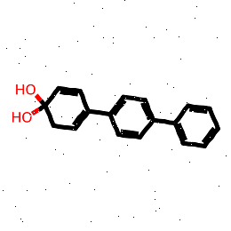 OC1(O)C=CC(c2ccc(-c3ccccc3)cc2)=CC1